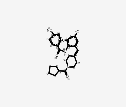 Cc1cc(Cl)cc(C=C2CCN(C(=O)C3CCCC3)CC2)c1NC(=O)c1ccc(C#N)cc1